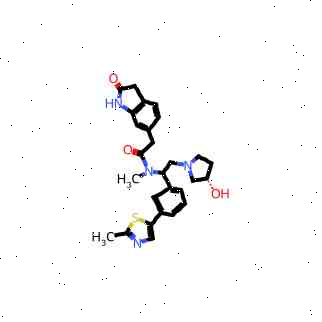 Cc1ncc(-c2cccc(C(CN3CC[C@H](O)C3)N(C)C(=O)Cc3ccc4c(c3)NC(=O)C4)c2)s1